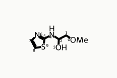 COCC(O)Nc1nccs1